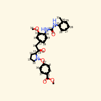 COC(=O)c1ccc(ON2CCCC2C(=O)Cc2ccc(NC(=O)Nc3ccccc3C)c(OC)c2)cc1